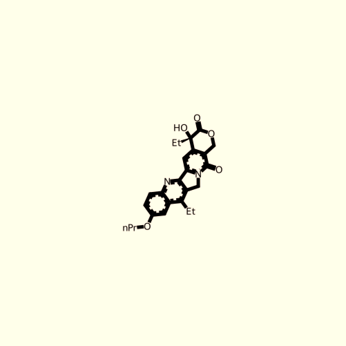 CCCOc1ccc2nc3c(c(CC)c2c1)Cn1c-3cc2c(c1=O)COC(=O)[C@]2(O)CC